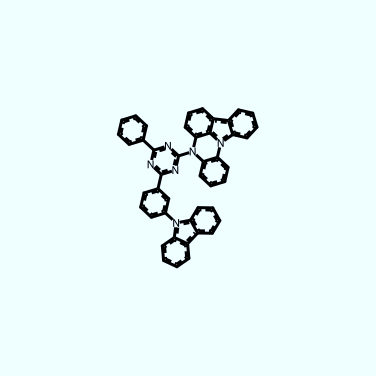 c1ccc(-c2nc(-c3cccc(-n4c5ccccc5c5ccccc54)c3)nc(N3c4ccccc4-n4c5ccccc5c5cccc3c54)n2)cc1